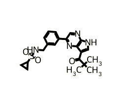 CC(C)(C)C(=O)c1c[nH]c2ncc(-c3cccc(CNS(=O)(=O)C4CC4)c3)nc12